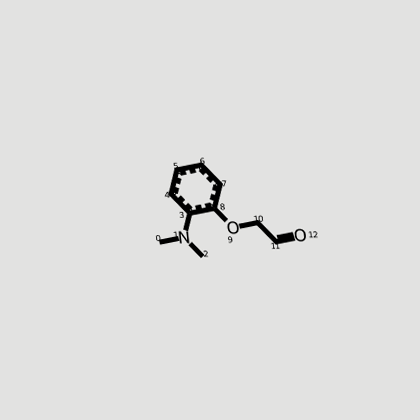 CN(C)c1ccccc1OCC=O